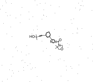 CC(C)(O)C#Cc1cccc(-c2cn(C(=O)N3COCC3(C)C)cn2)c1